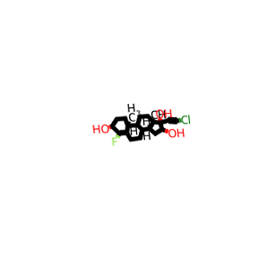 C[C@]12CCC(O)C(F)=C1CC[C@@H]1[C@H]2CC[C@@]2(C)[C@H]1CC(O)C2(O)C#CCl